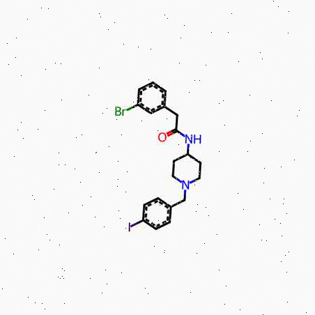 O=C(Cc1cccc(Br)c1)NC1CCN(Cc2ccc(I)cc2)CC1